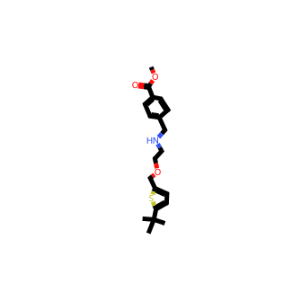 COC(=O)c1ccc(CNCCOCc2ccc(C(C)(C)C)s2)cc1